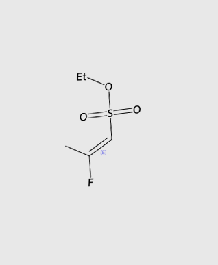 CCOS(=O)(=O)/C=C(\C)F